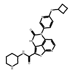 O=C(NC1CCCNC1)c1sc2nccc3c2c1NC(=O)N3c1ccc(OC2CCC2)nc1